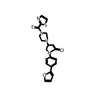 O=C(c1nccs1)N1CCN(C2CC(=O)N(c3ccc(-c4ccco4)cc3)C2)CC1